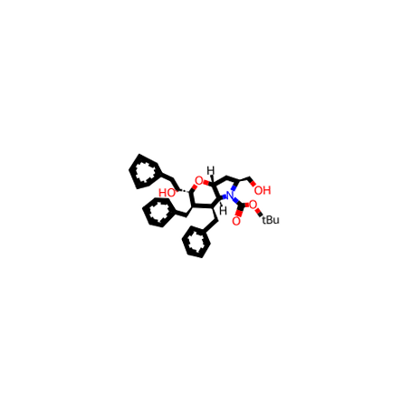 CC(C)(C)OC(=O)N1[C@H](CO)C[C@H]2O[C@@H](C(O)Cc3ccccc3)[C@H](Cc3ccccc3)[C@H](Cc3ccccc3)[C@@H]21